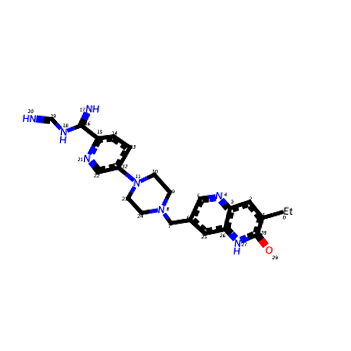 CCc1cc2ncc(CN3CCN(c4ccc(C(=N)NC=N)nc4)CC3)cc2[nH]c1=O